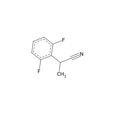 CC(C#N)c1c(F)cccc1F